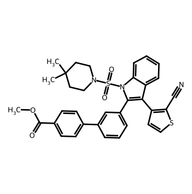 COC(=O)c1ccc(-c2cccc(-c3c(-c4ccsc4C#N)c4ccccc4n3S(=O)(=O)N3CCC(C)(C)CC3)c2)cc1